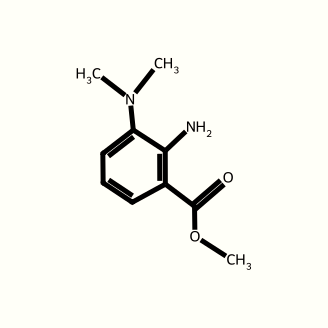 COC(=O)c1cccc(N(C)C)c1N